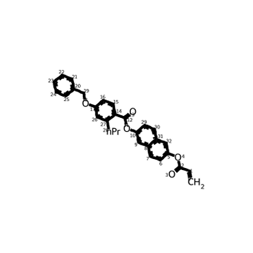 C=CC(=O)Oc1ccc2cc(OC(=O)c3ccc(OCc4ccccc4)cc3CCC)ccc2c1